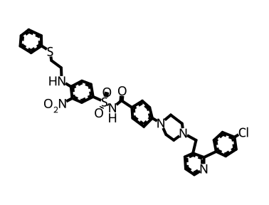 O=C(NS(=O)(=O)c1ccc(NCCSc2ccccc2)c([N+](=O)[O-])c1)c1ccc(N2CCN(Cc3cccnc3-c3ccc(Cl)cc3)CC2)cc1